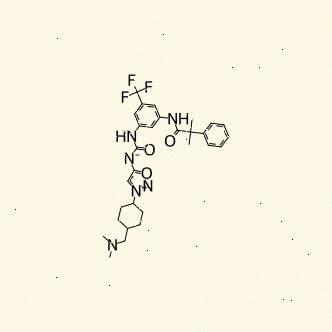 CN(C)CC1CCC([n+]2cc([N-]C(=O)Nc3cc(NC(=O)C(C)(C)c4ccccc4)cc(C(F)(F)F)c3)on2)CC1